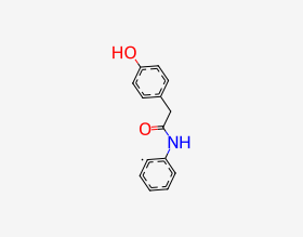 O=C(Cc1ccc(O)cc1)Nc1[c]cccc1